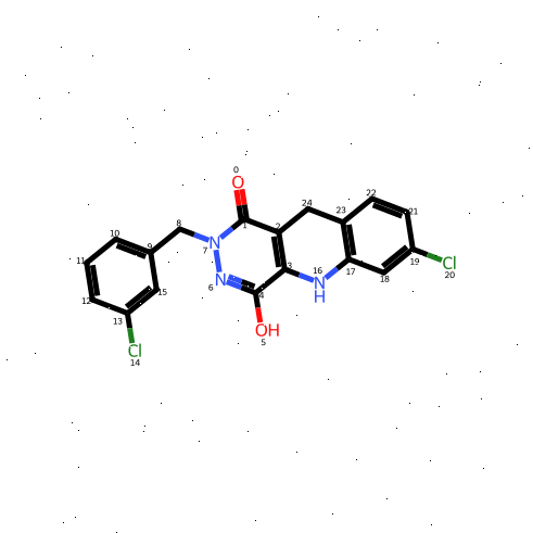 O=c1c2c(c(O)nn1Cc1cccc(Cl)c1)Nc1cc(Cl)ccc1C2